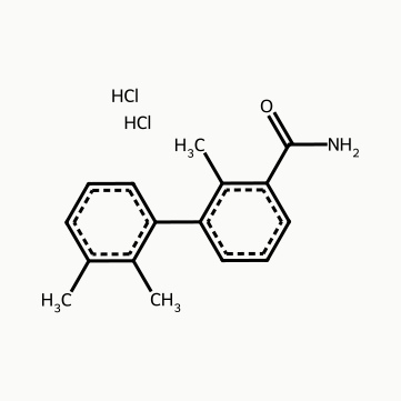 Cc1cccc(-c2cccc(C(N)=O)c2C)c1C.Cl.Cl